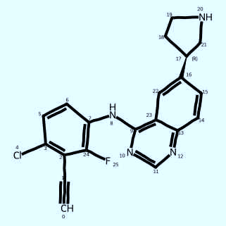 C#Cc1c(Cl)ccc(Nc2ncnc3ccc([C@H]4CCNC4)cc23)c1F